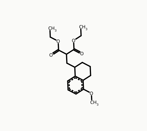 CCOC(=O)C(CC1CCCc2c(OC)cccc21)C(=O)OCC